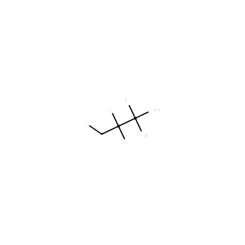 OC(F)(Br)C(F)(F)CF